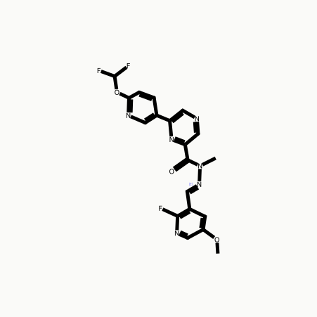 COc1cnc(F)c(/C=N/N(C)C(=O)c2cncc(-c3ccc(OC(F)F)nc3)n2)c1